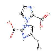 CCc1c[nH]c(C(=O)O)n1.O=C(O)c1ncc[nH]1